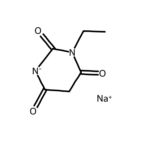 CCN1C(=O)CC(=O)[N-]C1=O.[Na+]